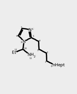 CCCCCCCCCCCc1nccn1C(N)CC